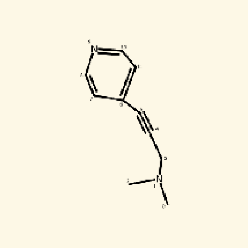 CN(C)CC#Cc1c[c]ncc1